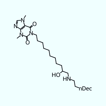 CCCCCCCCCCCCNCC(O)CCCCCCCCCn1c(=O)c2c(ncn2C)n(C)c1=O